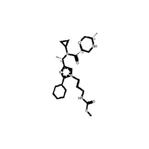 COC(=O)NCCCn1cc([C@H](C)N(C(=O)[C@H]2CN[C@@H](C)CO2)C2CC2)nc1C1CCCCC1